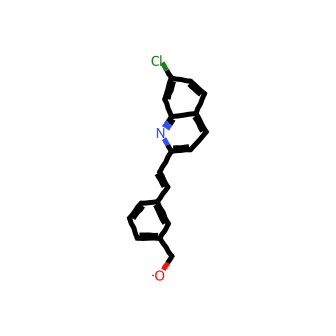 [O]Cc1cccc(/C=C/c2ccc3ccc(Cl)cc3n2)c1